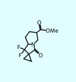 COC(=O)C1CCC2N(C1)C(=O)C1(CC1)C2(F)F